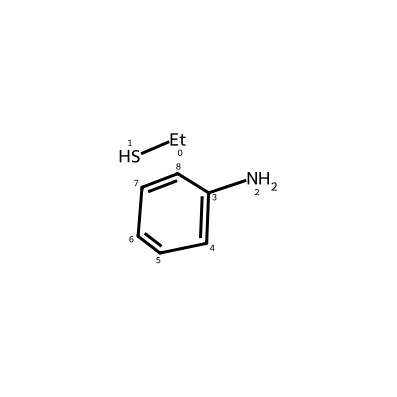 CCS.Nc1ccccc1